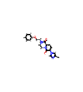 Cc1cn(-c2ccc3n(c2=O)CCN(CCOc2ccccc2)C3=O)cn1